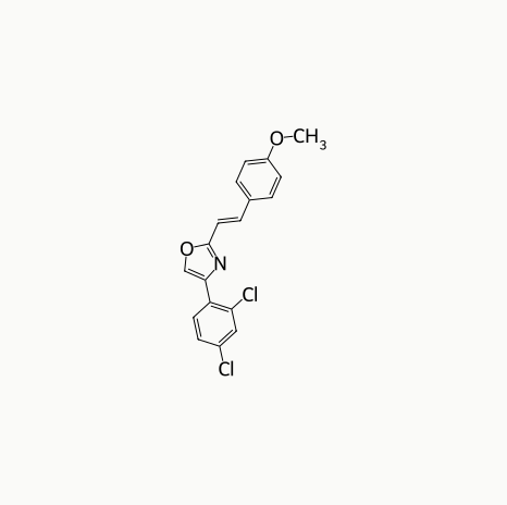 COc1ccc(C=Cc2nc(-c3ccc(Cl)cc3Cl)co2)cc1